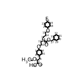 CCOC(Cc1ccc(OCCN(CCCOc2ccc(F)cc2)C(=O)OCc2ccccc2)cc1)C(=O)O